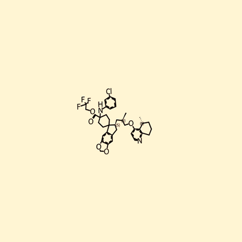 C[C@@H](COc1ccnc2c1[C@H](C)CCC2)C[C@H]1Cc2cc3c(cc2C12CCC(Nc1cccc(Cl)c1)(C(=O)OCC(F)(F)F)CC2)OCO3